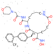 O=C(CN1CCOCC1)NC(=O)C1CCCCNC(=O)OCCCC(C(=O)NO)[C@@H](Cc2ccc(-c3ccccc3C(F)(F)F)cc2)C(=O)N1